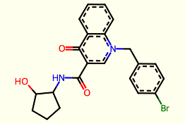 O=C(NC1CCCC1O)c1cn(Cc2ccc(Br)cc2)c2ccccc2c1=O